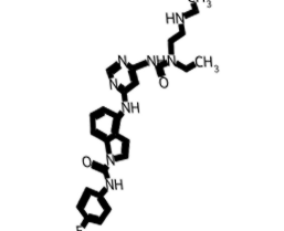 CCNCCN(CC)C(=O)Nc1cc(Nc2cccc3c2ccn3C(=O)Nc2ccc(F)cc2)ncn1